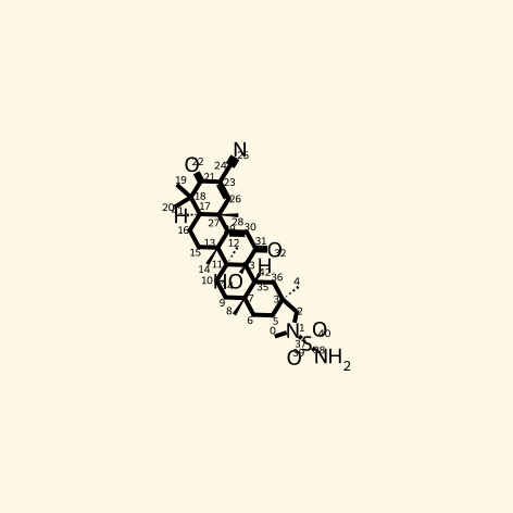 CN(C[C@@]1(C)CC[C@]2(C)CC[C@@]3(C)[C@]4(C)CC[C@H]5C(C)(C)C(=O)C(C#N)=C[C@]5(C)C4=CC(=O)[C@]3(O)[C@@H]2C1)S(N)(=O)=O